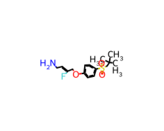 CC(C)(C)CS(=O)(=O)c1ccc(OC/C(F)=C/CN)cc1